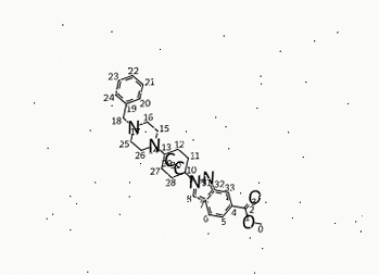 COC(=O)c1ccc2cn(C34CCC(N5CCN(Cc6ccccc6)CC5)(CC3)CC4)nc2c1